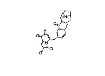 O=C(c1cc(Cc2c[nH]c(=O)c3cc(Cl)c(Cl)n23)ccc1F)N1CCC2CCC(C1)N2